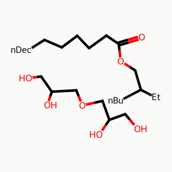 CCCCCCCCCCCCCCCC(=O)OCC(CC)CCCC.OCC(O)COCC(O)CO